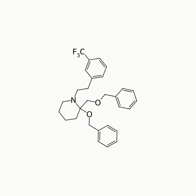 FC(F)(F)c1cccc(CCN2CCCCC2(COCc2ccccc2)OCc2ccccc2)c1